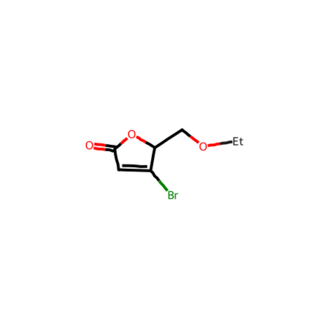 CCOCC1OC(=O)C=C1Br